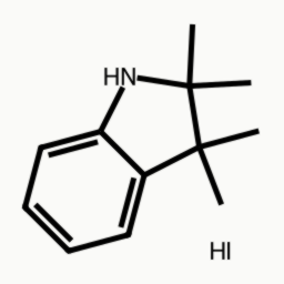 CC1(C)Nc2ccccc2C1(C)C.I